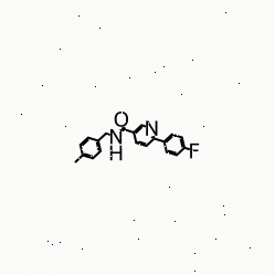 Cc1ccc(CNC(=O)c2ccc(-c3ccc(F)cc3)nc2)cc1